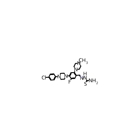 CN1CCN(c2cc(N3CCN(c4ccc(Cl)cc4)CC3)c(F)cc2/C=N/NC(N)=S)CC1